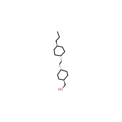 CCC[C@H]1CC[C@H](CC[C@H]2CC[C@H](CO)CC2)CC1